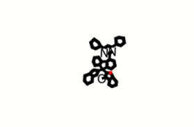 c1ccc(-c2cc(-c3ccccc3)nc(-c3cccc4c3-c3ccccc3C43c4ccc5ccccc5c4Oc4c3ccc3ccccc43)n2)cc1